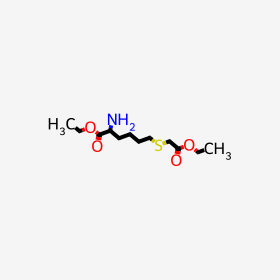 CCOC(=O)CSCCCCC(N)C(=O)OCC